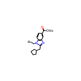 CCC(C)Cn1c(CC2CCCC2)nc2cc(C(=O)OC)ccc21